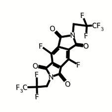 O=c1c2c(F)c3c(=O)n(CC(F)(F)C(F)(F)F)c(=O)c3c(F)c2c(=O)n1CC(F)(F)C(F)(F)F